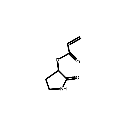 C=CC(=O)OC1CCNC1=O